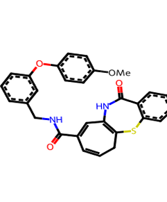 COc1ccc(Oc2cccc(CNC(=O)C3=CC4=C(CC=C3)Sc3ccccc3C(=O)N4)c2)cc1